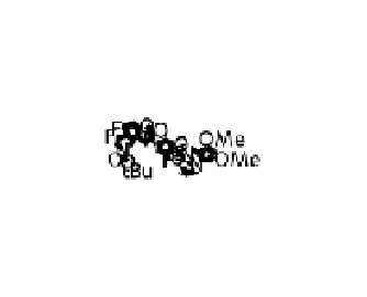 COc1ccc(CN(c2nccs2)S(=O)(=O)c2cc3oc(=O)n(Cc4cccc5c4CN(C(=O)OC(C)(C)C)CC5(F)F)c3cc2F)c(OC)c1